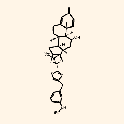 C=C1C=C[C@@]2(C)C(=C1)CC[C@@H]1[C@@H]2[C@@H](O)C[C@@]2(C)[C@H]1C[C@H]1O[C@@H](c3cc(Cc4cccc(NC(C)(C)C)c4)cs3)O[C@]12C(=O)CC